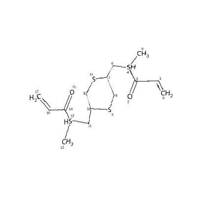 C=CC(=O)[SH](C)CC1CSC(C[SH](C)C(=O)C=C)CS1